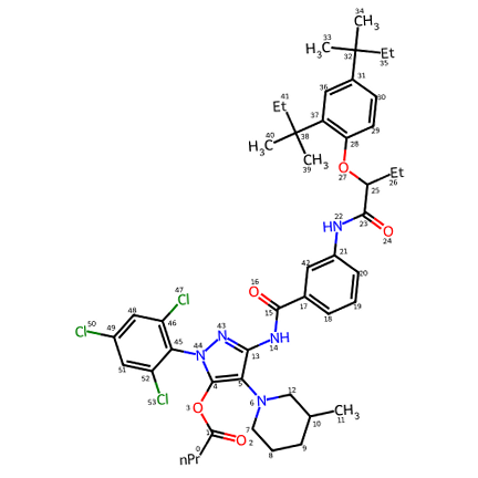 CCCC(=O)Oc1c(N2CCCC(C)C2)c(NC(=O)c2cccc(NC(=O)C(CC)Oc3ccc(C(C)(C)CC)cc3C(C)(C)CC)c2)nn1-c1c(Cl)cc(Cl)cc1Cl